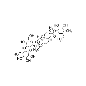 C=C1C[C@]23CC[C@@H]4C[C@](C)(C(=O)O[C@@H]5C[C@H](CC)[C@@H](C)[C@@H](O)[C@H]5O)CC[C@@]4(C)[C@]2(C)CC[C@@]1(O[C@@H]1O[C@H](CO)[C@@H](O)[C@H](O)[C@H]1O[C@@H]1C[C@H](CO)[C@@H](O)[C@H](O)[C@H]1O)C3